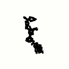 Cn1nc(-c2cccc(CC(=O)c3ccc(C(C)(C)C)cc3)c2)cc(Nc2ccc(C(=O)N3CCOCC3)cn2)c1=O